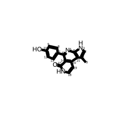 Cc1c[nH]c2nc(-c3ccc(O)cc3)c3c(=O)[nH]ccc3c12